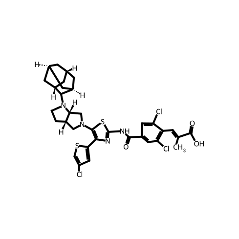 C/C(=C\c1c(Cl)cc(C(=O)Nc2nc(-c3cc(Cl)cs3)c(N3C[C@@H]4CCN(C5[C@H]6C[C@@H]7C[C@@H](C[C@H]5C7)C6)[C@@H]4C3)s2)cc1Cl)C(=O)O